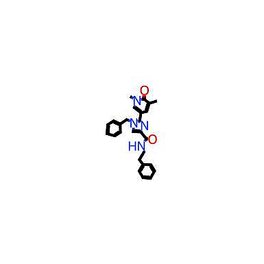 Cc1cc(-c2nc(C(=O)NCCc3ccccc3)cn2Cc2ccccc2)cn(C)c1=O